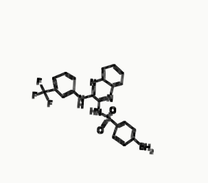 Bc1ccc(S(=O)(=O)Nc2nc3ccccc3nc2Nc2cccc(C(F)(F)F)c2)cc1